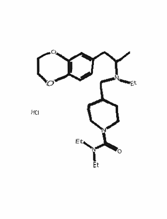 CCN(CC)C(=O)N1CCC(CN(CC)C(C)Cc2ccc3c(c2)OCCO3)CC1.Cl